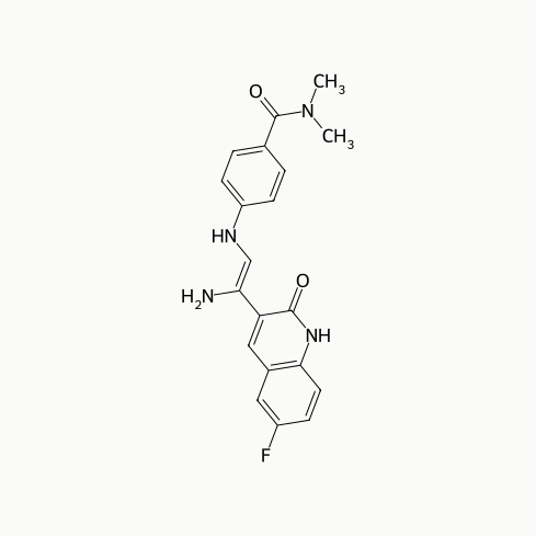 CN(C)C(=O)c1ccc(N/C=C(\N)c2cc3cc(F)ccc3[nH]c2=O)cc1